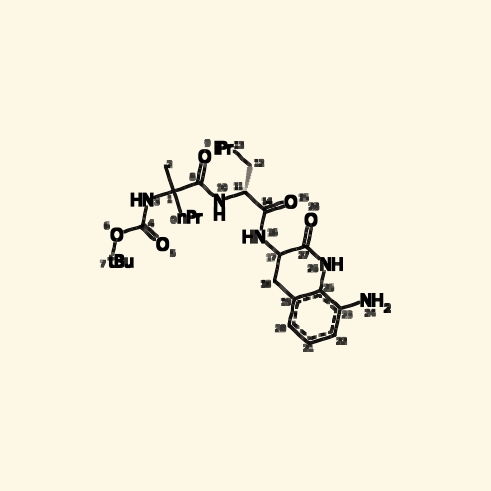 CCCC(C)(NC(=O)OC(C)(C)C)C(=O)N[C@H](CC(C)C)C(=O)NC1Cc2cccc(N)c2NC1=O